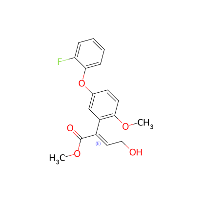 COC(=O)/C(=C/CO)c1cc(Oc2ccccc2F)ccc1OC